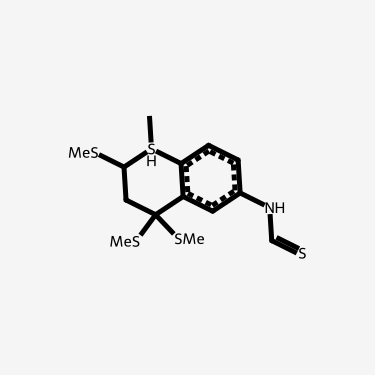 CSC1CC(SC)(SC)c2cc(NC=S)ccc2[SH]1C